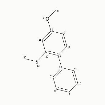 COc1ccc(-c2ccccc2)c(SC)c1